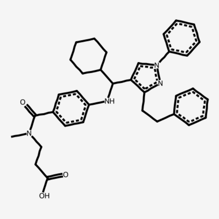 CN(CCC(=O)O)C(=O)c1ccc(NC(c2cn(-c3ccccc3)nc2CCc2ccccc2)C2CCCCC2)cc1